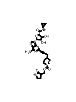 Nc1nc(C#CCC2CCN(C(=O)OCC3CCNC3=O)CC2)nc2c1ncn2[C@@H]1O[C@H](C(=O)NC2CC2)C(O)[C@@H]1O